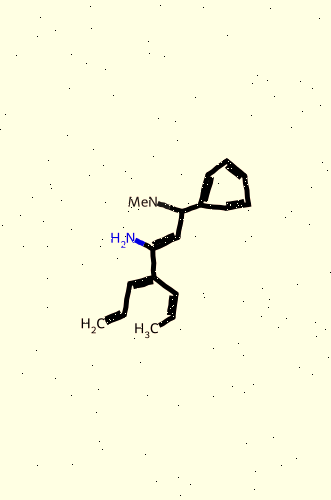 C=C/C=C(\C=C/C)C(/N)=C/C(NC)c1ccccc1